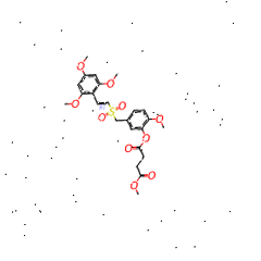 COC(=O)CCC(=O)Oc1cc(CS(=O)(=O)/C=C/c2c(OC)cc(OC)cc2OC)ccc1OC